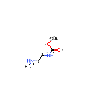 CCNCCNC(=O)OC(C)(C)C